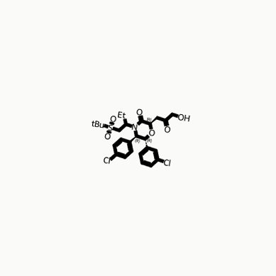 CCC(CS(=O)(=O)C(C)(C)C)N1C(=O)[C@@H](CC(=O)CO)O[C@H](c2cccc(Cl)c2)[C@H]1c1ccc(Cl)cc1